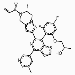 C=CC(=O)N1Cc2cc(-c3nc(-c4cnnc(C)c4)c4ccsc4c3-c3c(F)cc(F)cc3OC[C@@H](C)O)nn2C[C@H]1C